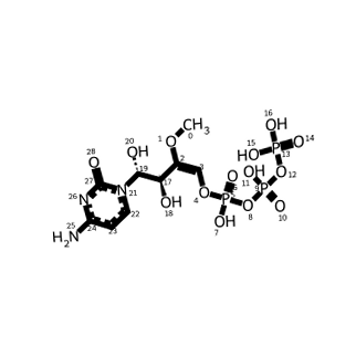 CO/C(=C/OP(=O)(O)OP(=O)(O)OP(=O)(O)O)[C@@H](O)[C@@H](O)n1ccc(N)nc1=O